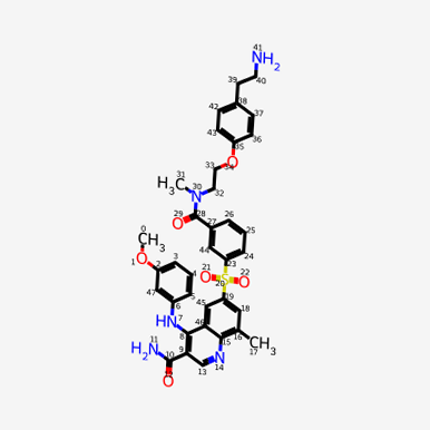 COc1cccc(Nc2c(C(N)=O)cnc3c(C)cc(S(=O)(=O)c4cccc(C(=O)N(C)CCOc5ccc(CCN)cc5)c4)cc23)c1